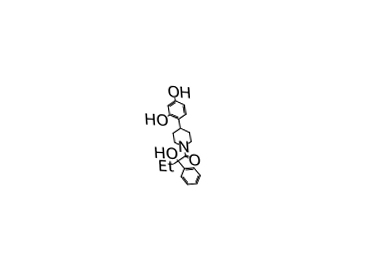 CCC(O)(C(=O)N1CCC(c2ccc(O)cc2O)CC1)c1ccccc1